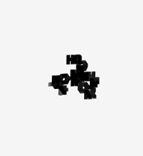 Cc1cc(N(C)C)c2cc(C3=NC(c4ccc5nc(C)cc(N(C)C)c5c4)N(N)C(N4CCCC(O)C4)=N3)ccc2n1